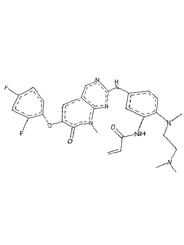 C=CC(=O)Nc1cc(Nc2ncc3cc(Oc4ccc(F)cc4F)c(=O)n(C)c3n2)ccc1N(C)CCN(C)C